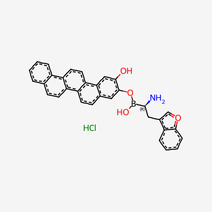 Cl.N[C@@H](Cc1coc2ccccc12)B(O)Oc1cc2ccc3c(ccc4c5ccccc5ccc43)c2cc1O